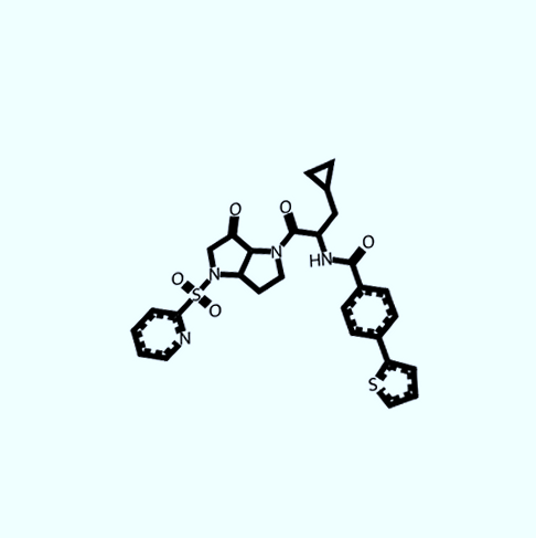 O=C(NC(CC1CC1)C(=O)N1CCC2C1C(=O)CN2S(=O)(=O)c1ccccn1)c1ccc(-c2cccs2)cc1